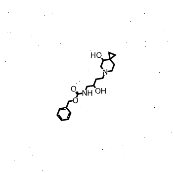 O=C(NCC(O)CCN1CCC2(CC2)C(O)C1)OCc1ccccc1